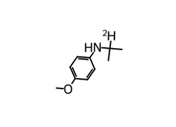 [2H]C(C)(C)Nc1ccc(OC)cc1